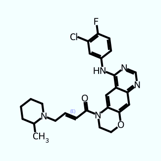 CC1CCCCN1C/C=C/C(=O)N1CCOc2cc3ncnc(Nc4ccc(F)c(Cl)c4)c3cc21